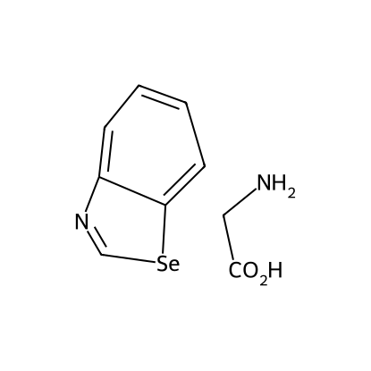 NCC(=O)O.c1ccc2[se]cnc2c1